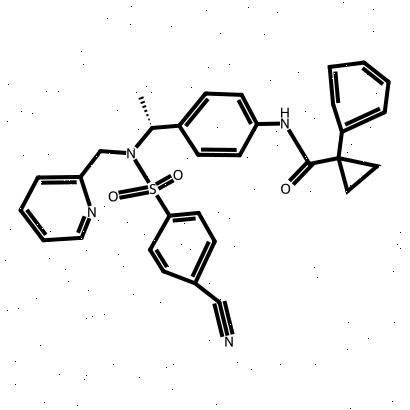 C[C@H](c1ccc(NC(=O)C2(c3ccccc3)CC2)cc1)N(Cc1ccccn1)S(=O)(=O)c1ccc(C#N)cc1